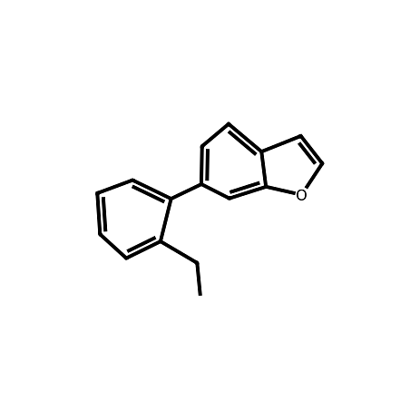 CCc1ccccc1-c1ccc2ccoc2c1